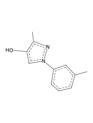 Cc1cccc(-n2cc(O)c(C)n2)c1